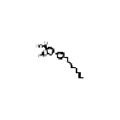 CCCCCCCCCC1=CCC([C@H]2CC[C@](CC(F)F)(C(=O)O)CC2)C=C1